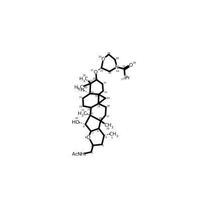 CC(=O)NCC1C[C@@H](C)C2C(O1)[C@H](O)[C@@]1(C)C3CC[C@H]4C(C)(C)C(O[C@H]5CN(C(=O)C(C)C)CCO5)CCC45CC35CCC21C